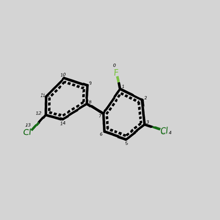 Fc1cc(Cl)ccc1-c1cc[c]c(Cl)c1